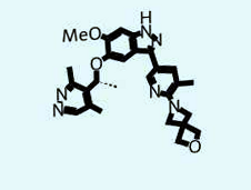 COc1cc2[nH]nc(-c3cnc(N4CC5(COC5)C4)c(C)c3)c2cc1O[C@H](C)c1c(C)cnnc1C